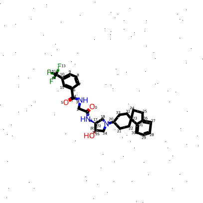 O=C(CNC(=O)c1cccc(C(F)(F)F)c1)N[C@H]1CN(C2CCC3(CCc4ccccc43)CC2)C[C@H]1O